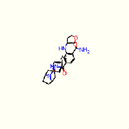 CC(=O)c1ccc(N2C3CCC2CC(NC(=O)c2ccc(C(N)=O)c(NC4CCOC4)c2)C3)nc1